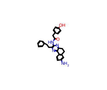 Nc1ccc2c(c1)CCc1nc(NC(=O)Cc3ccc(O)cc3)c(CCc3ccccc3)nc1-2